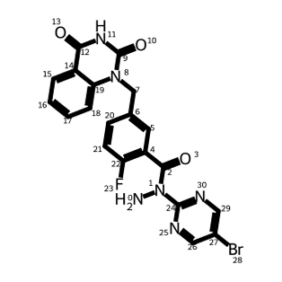 NN(C(=O)c1cc(Cn2c(=O)[nH]c(=O)c3ccccc32)ccc1F)c1ncc(Br)cn1